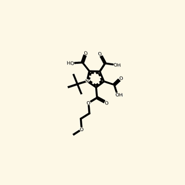 COCCOC(=O)c1c(C(=O)O)c(C(=O)O)c(C(=O)O)n1C(C)(C)C